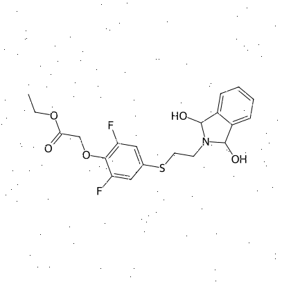 CCOC(=O)COc1c(F)cc(SCCN2C(O)c3ccccc3C2O)cc1F